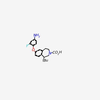 CC(C)(C)C1CN(C(=O)O)CCc2cc(Oc3ccc(N)cc3F)ccc21